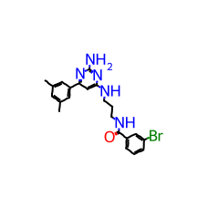 Cc1cc(C)cc(-c2cc(NCCCNC(=O)c3cccc(Br)c3)nc(N)n2)c1